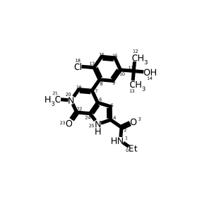 CCNC(=O)c1cc2c(-c3cc(C(C)(C)O)ccc3Cl)cn(C)c(=O)c2[nH]1